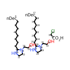 CCCCCCCCCCCCCCCCCCC1NCCN1CCO.CCCCCCCCCCCCCCCCCCC1NCCN1CCO.O=C(O)CCl